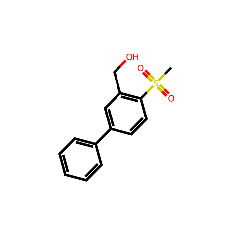 CS(=O)(=O)c1ccc(-c2ccccc2)cc1CO